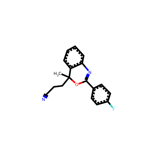 CC1(CCC#N)OC(c2ccc(F)cc2)=Nc2ccccc21